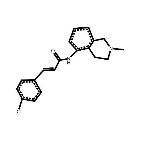 CN1CCc2c(cccc2NC(=O)/C=C/c2ccc(Cl)cc2)C1